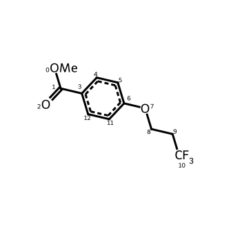 COC(=O)c1ccc(OCCC(F)(F)F)cc1